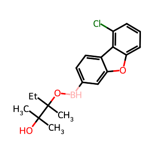 CCC(C)(OBc1ccc2c(c1)oc1cccc(Cl)c12)C(C)(C)O